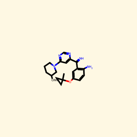 COC1CCCN(c2cc(C(=N)c3cc(OC4(C)CC4)ccc3N)ncn2)C1